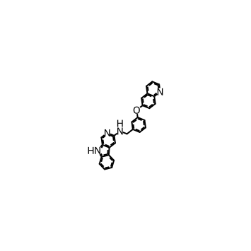 c1cc(CNc2cc3c(cn2)[nH]c2ccccc23)cc(Oc2ccc3ncccc3c2)c1